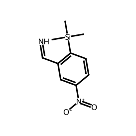 C[Si](C)(C)c1ccc([N+](=O)[O-])cc1C=N